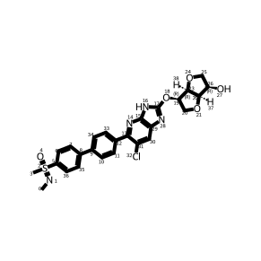 CN=S(C)(=O)c1ccc(-c2ccc(-c3nc4[nH]c(O[C@@H]5CO[C@H]6[C@@H]5OC[C@H]6O)nc4cc3Cl)cc2)cc1